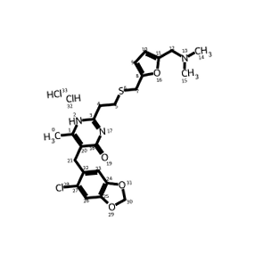 Cc1[nH]c(CCSCc2ccc(CN(C)C)o2)nc(=O)c1Cc1cc2c(cc1Cl)OCO2.Cl.Cl